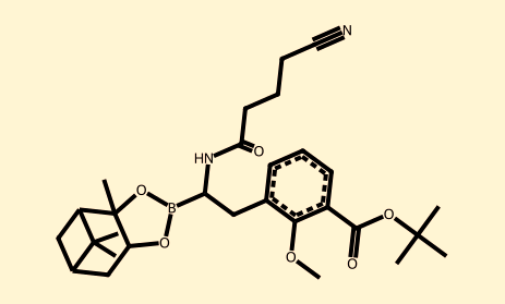 COc1c(CC(NC(=O)CCCC#N)B2OC3CC4CC(C4(C)C)C3(C)O2)cccc1C(=O)OC(C)(C)C